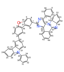 c1ccc(-c2nc(-c3ccc4oc5ccc(-c6ccc7c(c6)c6ccccc6n7-c6ccccc6)cc5c4c3)nc3c4ccccc4c4nc5ccccc5n4c23)cc1